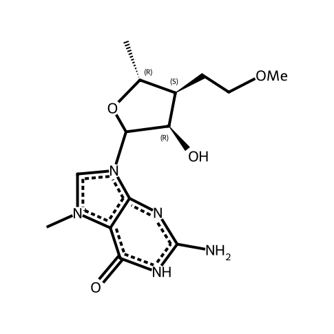 COCC[C@@H]1[C@@H](C)OC(n2c[n+](C)c3c(=O)[nH]c(N)nc32)[C@@H]1O